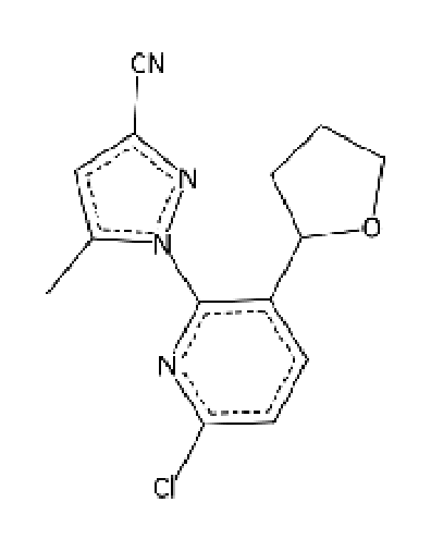 Cc1cc(C#N)nn1-c1nc(Cl)ccc1C1CCCO1